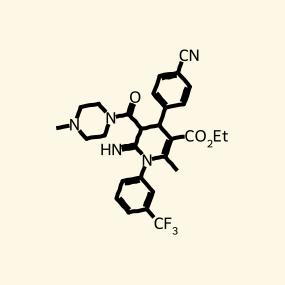 CCOC(=O)C1=C(C)N(c2cccc(C(F)(F)F)c2)C(=N)C(C(=O)N2CCN(C)CC2)C1c1ccc(C#N)cc1